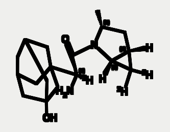 [2H]C1([2H])[C@H]2C[C@@H](C)N(C(=O)[C@@]([2H])(N)C34CC5CC(CC(O)(C5)C3)C4)[C@H]21